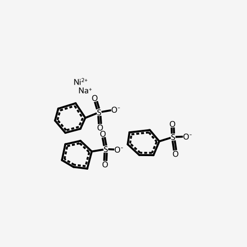 O=S(=O)([O-])c1ccccc1.O=S(=O)([O-])c1ccccc1.O=S(=O)([O-])c1ccccc1.[Na+].[Ni+2]